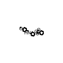 COc1ccc(CNc2[c]ccc(OS(=O)(=O)c3ccccc3)c2)cc1